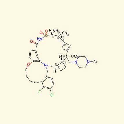 CO[C@@]1(CN2CCN(C(C)=O)CC2)C2=C[C@@H](C2)[C@H](C)[C@@H](C)S(=O)(=O)NC(=O)c2ccc3c(c2)N(Cc2ccc(Cl)c(F)c2CCCCO3)C[C@@H]2CC[C@H]21